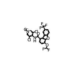 O=C(Nc1c(Cl)c[n+]([O-])cc1Cl)c1ccc(OC(F)F)c2oc3ccc(C(F)(F)F)cc3c12